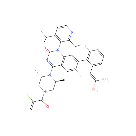 BC(B)=Cc1cccc(F)c1-c1cc2c(cc1F)c(N1[C@@H](C)CN(C(=O)C(=C)F)C[C@@H]1C)nc(=O)n2-c1c(C(C)C)ccnc1C(C)C